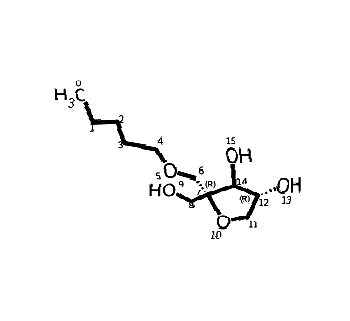 CCCCCOC[C@@]1(CO)OC[C@@H](O)C1O